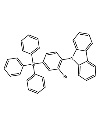 Brc1cc([Si](c2ccccc2)(c2ccccc2)c2ccccc2)ccc1-n1c2ccccc2c2ccccc21